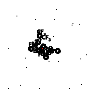 CCc1cccc(CC)c1-n1nc2c(c1-c1ccc(F)c3c1ccn3C(=O)Oc1ccccc1COP(=O)(OCc1ccccc1)OCc1ccccc1)CN(Cc1ccc(C(F)(F)F)cc1C(F)(F)F)C2(C)C